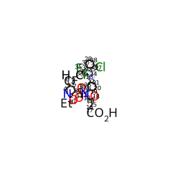 CCOc1ncc(C(F)(F)F)cc1S(=O)(=O)N1C[C@H](CCC(=O)O)Oc2ccc(/C=C/c3c(Cl)cccc3C(C)(F)F)cc21